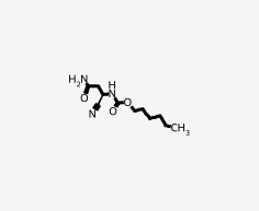 CCCCCCOC(=O)N[C@@H](C#N)CC(N)=O